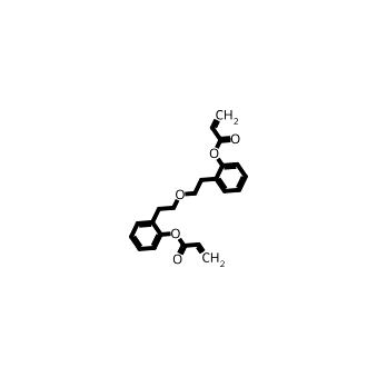 C=CC(=O)Oc1ccccc1CCOCCc1ccccc1OC(=O)C=C